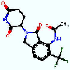 CC(=O)Nc1c(C(F)(F)F)ccc2c1C(=O)N(C1CCC(=O)NC1=O)C2